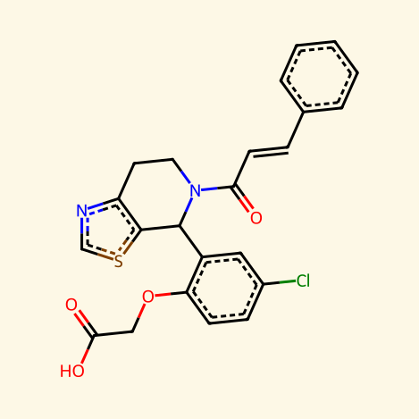 O=C(O)COc1ccc(Cl)cc1C1c2scnc2CCN1C(=O)C=Cc1ccccc1